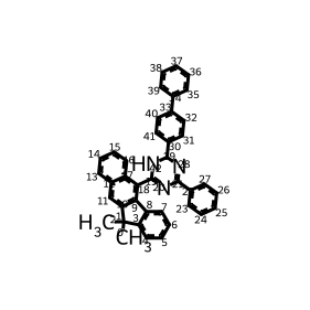 CC1(C)c2ccccc2-c2c1cc1ccccc1c2C1=NC(c2ccccc2)=NC(c2ccc(-c3ccccc3)cc2)N1